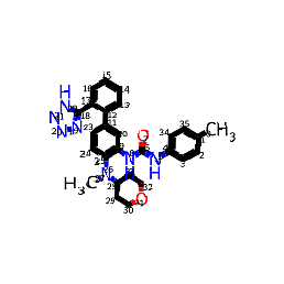 Cc1ccc(NC(=O)Nc2cc(-c3ccccc3-c3nnn[nH]3)ccc2N(C)C2CCOCC2)cc1